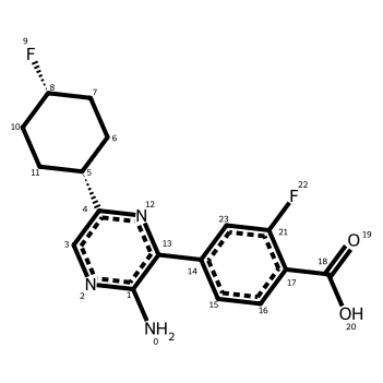 Nc1ncc([C@H]2CC[C@@H](F)CC2)nc1-c1ccc(C(=O)O)c(F)c1